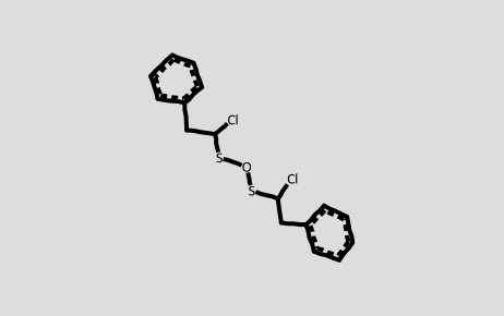 ClC(Cc1ccccc1)SOSC(Cl)Cc1ccccc1